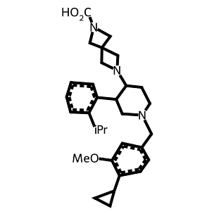 COc1cc(CN2CCC(N3CC4(CN(C(=O)O)C4)C3)C(c3ccccc3C(C)C)C2)ccc1C1CC1